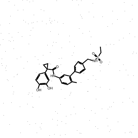 CCS(=O)(=O)NCc1ccc(-c2cc(NC(=O)C3(c4ccc(O)c(O)c4)CC3)ccc2C)cc1